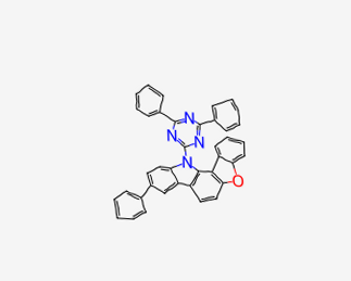 c1ccc(-c2ccc3c(c2)c2ccc4oc5ccccc5c4c2n3-c2nc(-c3ccccc3)nc(-c3ccccc3)n2)cc1